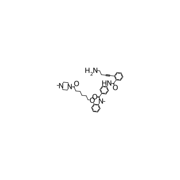 CN1CCN(C(=O)CCCCCOc2ccccc2N(C)C(=O)c2ccc(NC(=O)c3ccccc3C#CCCN)cc2)CC1